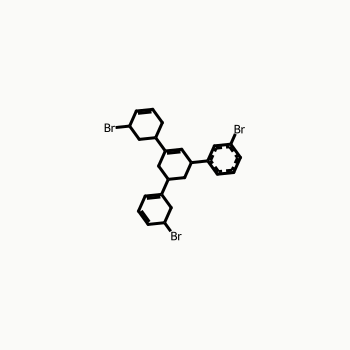 Brc1cccc(C2C=C(C3CC=CC(Br)C3)CC(C3=CC=CC(Br)C3)C2)c1